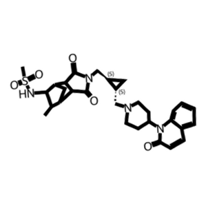 CC1C2CC(C1NS(C)(=O)=O)C1C(=O)N(C[C@H]3C[C@@H]3CN3CCC(n4c(=O)ccc5ccccc54)CC3)C(=O)C21